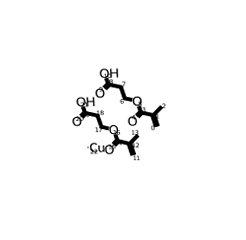 C=C(C)C(=O)OCCC(=O)O.C=C(C)C(=O)OCCC(=O)O.[Cu]